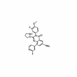 COc1ccc(-n2c([C@H]3CCCN3)nc3c(-c4ccnc(F)c4)cc(C#N)cc3c2=O)cc1F